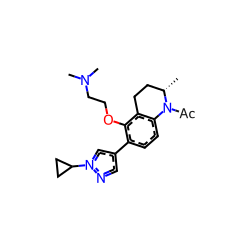 CC(=O)N1c2ccc(-c3cnn(C4CC4)c3)c(OCCN(C)C)c2CC[C@@H]1C